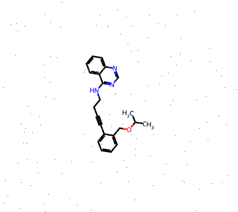 CC(C)OCc1ccccc1C#CCCNc1ncnc2ccccc12